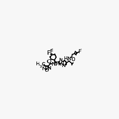 Cc1nonc1C(=O)N[C@H](c1cn2ncc(C(NC(=O)CC3C=C(F)C3)C3CC3)cc2n1)C1CCC(F)(F)CC1